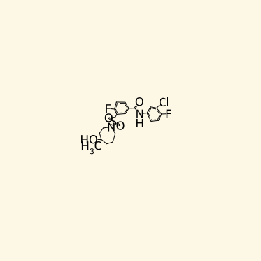 CC1(O)CCCN(S(=O)(=O)c2cc(C(=O)Nc3ccc(F)c(Cl)c3)ccc2F)CC1